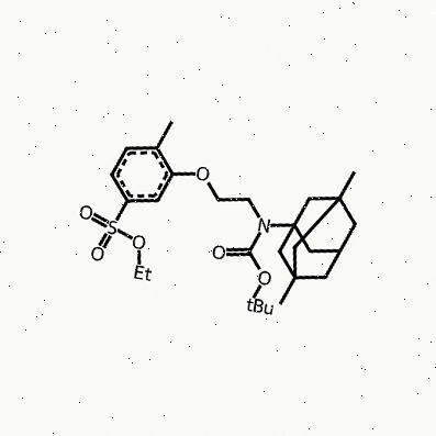 CCOS(=O)(=O)c1ccc(C)c(OCCN(C(=O)OC(C)(C)C)C23CC4CC(C)(CC(C)(C4)C2)C3)c1